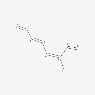 C=CC=CC=C(C)C=C